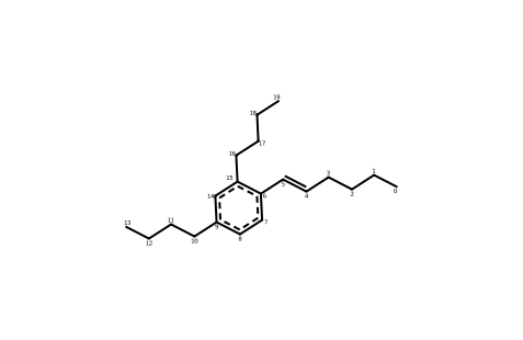 CCCCC=Cc1ccc(CCCC)cc1CCCC